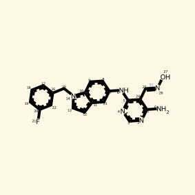 Nc1ncnc(Nc2ccc3c(ccn3Cc3cccc(F)c3)c2)c1/C=N/O